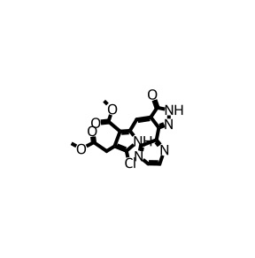 COC(=O)Cc1c(Cl)[nH]c(/C=C2/C(=O)NN=C2c2cnccn2)c1C(=O)OC